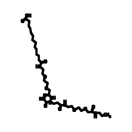 CCCNC(=O)COCCOCCNC(=O)CC[C@H](NC(=O)COCCOCCNC(=O)CCCCCCCCCCCCC(=O)O)C(=O)O